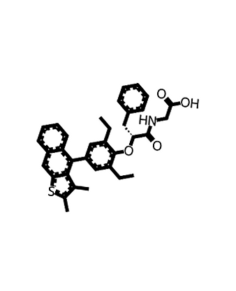 CCc1cc(-c2c3ccccc3cc3sc(C)c(C)c23)cc(CC)c1O[C@H](Cc1ccccc1)C(=O)NCC(=O)O